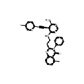 Cc1cccc2nc(CCNc3ncnc(N)c3C#Cc3ccc(F)cn3)n(-c3ccccc3)c(=O)c12